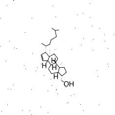 CC(C)CCCC(C)[C@H]1C=C[C@H]2[C@@H]3CC[C@H]4[C@@H](CO)CC[C@]4(C)[C@H]3CC[C@]12C